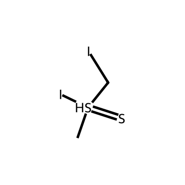 C[SH](=S)(I)CI